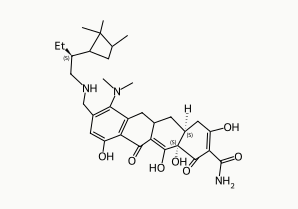 CC[C@H](CNCc1cc(O)c2c(c1N(C)C)CC1C[C@H]3CC(O)=C(C(N)=O)C(=O)[C@@]3(O)C(O)=C1C2=O)C1CC(C)C1(C)C